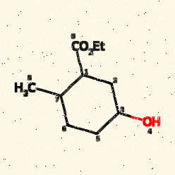 CCOC(=O)C1CC(O)CCC1C